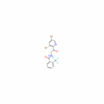 O=C(NCC(=O)c1ncc(Br)cc1Br)c1ccccc1C(F)(F)F